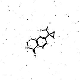 O=C1NCCc2cc(C3(C(F)F)CC3)ccc21